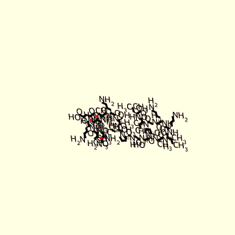 CC[C@H](C)[C@H](NC(=O)CNC(=O)[C@H](CCCCN)NC(=O)[C@H](CCCCN)NC(=O)[C@@H](NC(=O)[C@H](C)NC(=O)[C@@H]1CCCN1C(=O)[C@H](CO)NC(=O)CNC(=O)[C@@H]1CCCN1C(=O)[C@H](CC(C)C)NC(=O)[C@H](CO)NC(=O)[C@H](CCCCN)NC(=O)[C@@H](NC(=O)[C@@H](NC(=O)[C@H](CCC(=O)O)NC(=O)[C@H](CCCCN)NC(=O)[C@@H](NC(=O)[C@@H](N)CC(N)=O)[C@@H](C)CC)C(C)C)C(C)C)[C@@H](C)CC)C(=O)N[C@@H](CC(C)C)C(=O)O